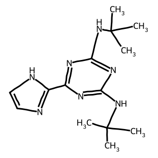 CC(C)(C)Nc1nc(NC(C)(C)C)nc(-c2ncc[nH]2)n1